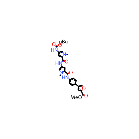 CCCCOC(=O)Nc1cc(C(=O)Nc2cc(C(=O)Nc3ccc(-c4coc(C(=O)OC)c4)cc3)n(C)c2)n(C)c1